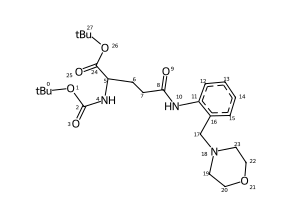 CC(C)(C)OC(=O)NC(CCC(=O)Nc1ccccc1CN1CCOCC1)C(=O)OC(C)(C)C